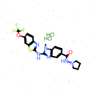 Cl.Cl.Cn1c(Nc2nc3ccc(OC(F)(F)F)cc3s2)nc2cc(C(=O)NN3CCCC3)ccc21